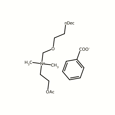 CCCCCCCCCCCCOC[N+](C)(C)CCOC(C)=O.O=C([O-])c1ccccc1